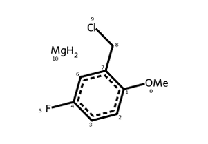 COc1ccc(F)cc1CCl.[MgH2]